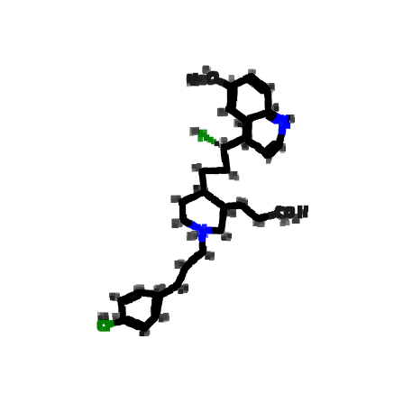 COc1ccc2nccc([C@@H](F)CCC3CCN(CCCc4ccc(Cl)cc4)CC3CCC(=O)O)c2c1